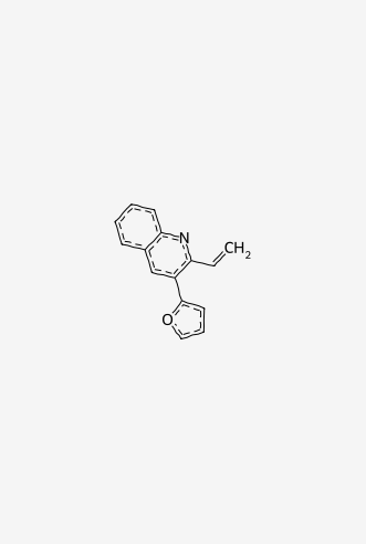 C=Cc1nc2ccccc2cc1-c1ccco1